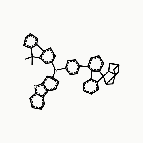 CC1(C)c2ccccc2-c2ccc(N(c3ccc(-c4cccc5c4-c4ccccc4C54C5CC6CC(C5)C4C6)cc3)c3ccc4c(c3)oc3ccccc34)cc21